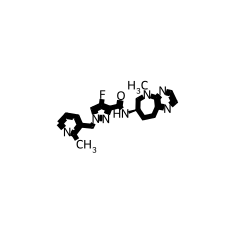 Cc1ncccc1Cn1cc(F)c(C(=O)N[C@@H]2CCc3nccnc3N(C)C2)n1